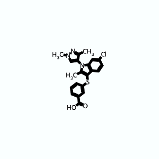 Cc1nn(C)cc1-n1c(C)c(Sc2cccc(C(=O)O)c2)c2ccc(Cl)cc21